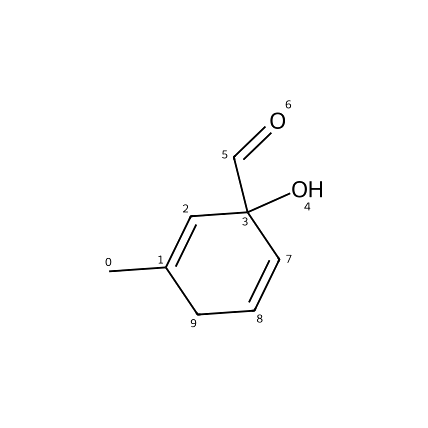 CC1=CC(O)(C=O)C=CC1